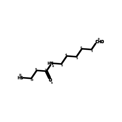 O=CCCCCCNC(=O)CCS